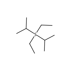 CCS(CC)(C(C)C)C(C)C